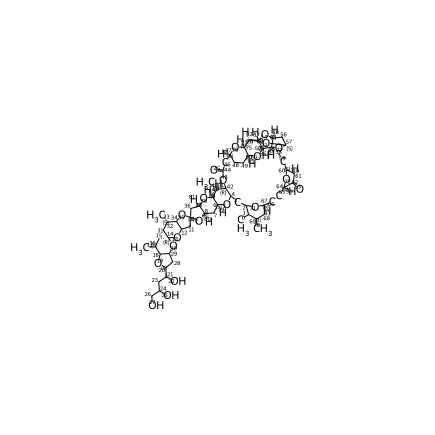 CC1C2CC3O[C@H]4C[C@H]5O[C@@]6(CC7O[C@]8(C[C@H](C)C9O[C@H](C(O)CC(O)CO)CC9O8)C[C@H](C)C7O6)C[C@H]5O[C@H]4[C@H](C)[C@H]3OC(=O)C[C@H]3CC[C@@H]4O[C@@H]5[C@H]6O[C@H]7C[C@](CC[C@H]8CC(=O)[C@H](CC[C@@H](C[C@H]1C)O2)O8)(O[C@H]6[C@H]4O3)O[C@@H]57